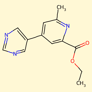 CCOC(=O)c1cc(-c2cncnc2)cc(C)n1